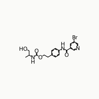 CC(CO)NC(=O)OCCc1ccc(NC(=O)c2cncc(Br)c2)cc1